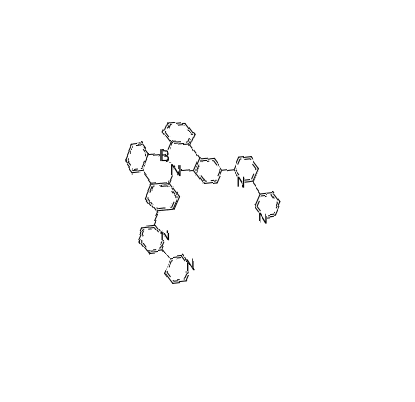 c1cncc(-c2cccc(-c3ccc4c(c3)-c3ccccc3B3c5ccccc5-c5cc(-c6cccc(-c7cccnc7)n6)ccc5N34)n2)c1